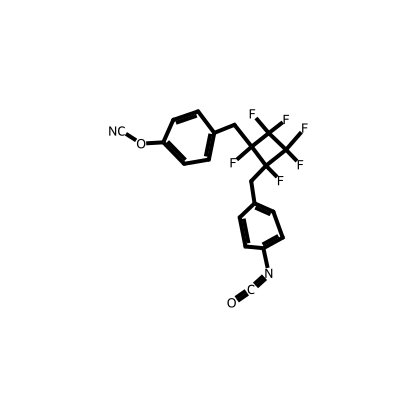 N#COc1ccc(CC2(F)C(F)(F)C(F)(F)C2(F)Cc2ccc(N=C=O)cc2)cc1